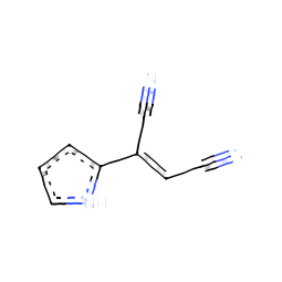 N#CC=C(C#N)c1ccc[nH]1